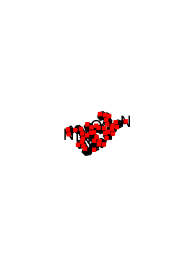 N#Cc1ccc(N(c2ccc3c(ccc4ccccc43)c2)c2ccc3cccc(-c4ccc5oc6c7ccccc7c7c(c8cc9c%10ccccc%10c%10ccccc%10c9cc8n7-c7nc(-c8cccc(-c9cccnc9)c8)nc(-c8cccc(-c9ccccn9)c8)n7)c6c5c4)c3c2)cc1